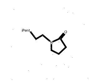 CCCC(C)CCN1CCCC1=O